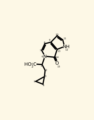 O=C(O)C(CC1CC1)n1ccc2cc[nH]c2c1=O